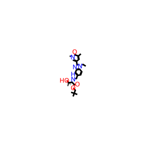 CCn1c(-c2cc(C)c(=O)n(C)c2)nc2cc(CNC(C(=O)OCC(C)(C)C)[C@@H](C)O)ccc21